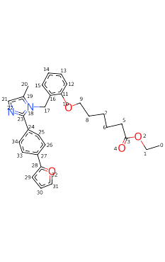 CCOC(=O)CCCCCOc1ccccc1Cn1c(C)cnc1-c1ccc(-c2ccco2)cc1